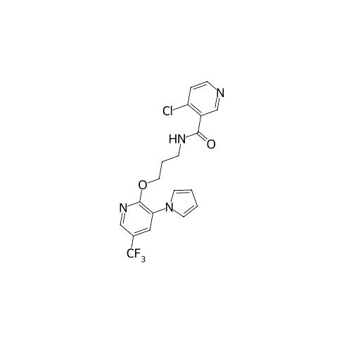 O=C(NCCCOc1ncc(C(F)(F)F)cc1-n1cccc1)c1cnccc1Cl